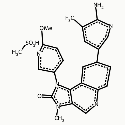 COc1ccc(-n2c(=O)n(C)c3cnc4ccc(-c5cnc(N)c(C(F)(F)F)c5)cc4c32)cn1.CS(=O)(=O)O